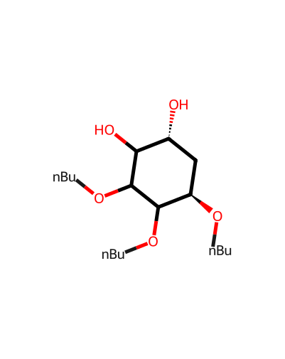 CCCCOC1C(O)[C@H](O)C[C@@H](OCCCC)C1OCCCC